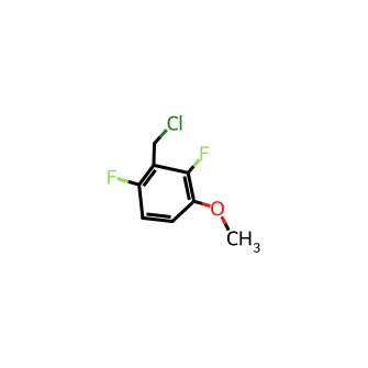 COc1ccc(F)c(CCl)c1F